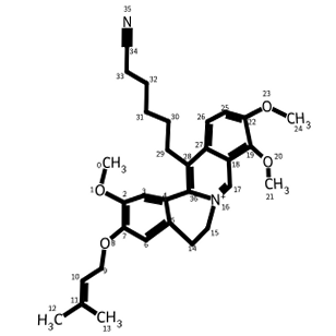 COc1cc2c(cc1OCC=C(C)C)CC[n+]1cc3c(OC)c(OC)ccc3c(CCCCCC#N)c1-2